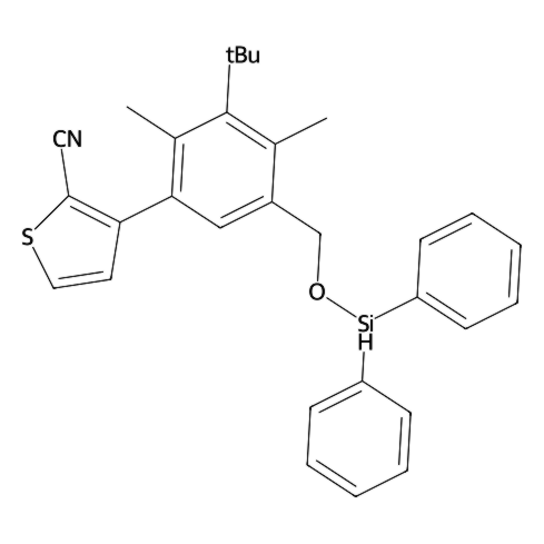 Cc1c(CO[SiH](c2ccccc2)c2ccccc2)cc(-c2ccsc2C#N)c(C)c1C(C)(C)C